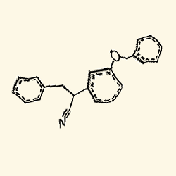 N#CC(Cc1ccccc1)c1cccc(Oc2ccccc2)c1